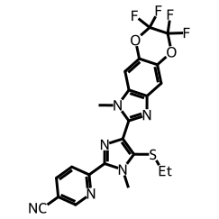 CCSc1c(-c2nc3cc4c(cc3n2C)OC(F)(F)C(F)(F)O4)nc(-c2ccc(C#N)cn2)n1C